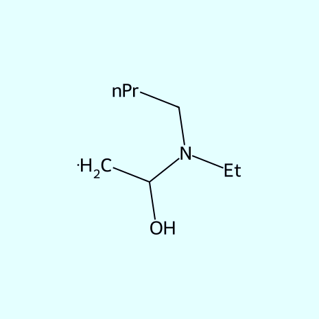 [CH2]C(O)N(CC)CCCC